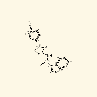 C[C@@H](NC1CC[C@H](c2ccc(=O)[nH]c2)C1)c1csc2ccccc12